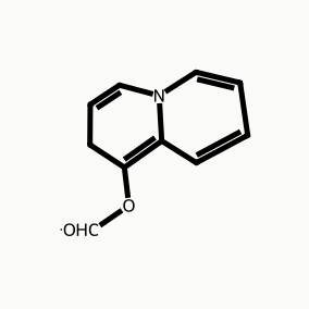 O=[C]OC1=C2C=CC=CN2C=CC1